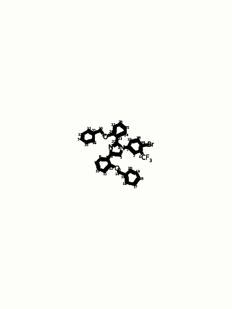 FC(F)(F)c1cc(-n2cc(-c3ccccc3OCc3ccccc3)nc2-c2ccccc2OCc2ccccc2)ccc1Br